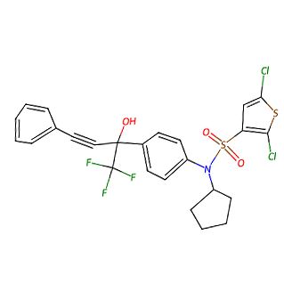 O=S(=O)(c1cc(Cl)sc1Cl)N(c1ccc(C(O)(C#Cc2ccccc2)C(F)(F)F)cc1)C1CCCC1